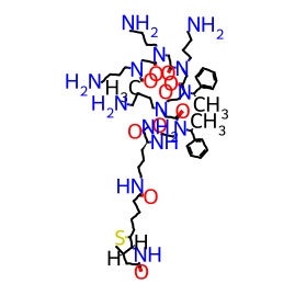 CC(=O)N(CCCCN)CC(=O)N(CCCCN)CC(=O)N(CCCCN)CC(=O)N(CC(=O)N(CCCCN)CC(=O)N(CC(=O)N[C@@H](CCCCNC(=O)CCCCC1SC[C@@H]2CC(=O)N[C@H]12)C(N)=O)[C@@H](C)c1ccccc1)[C@@H](C)c1ccccc1